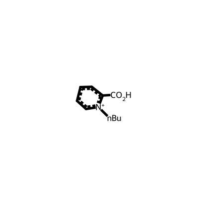 CCCC[n+]1ccccc1C(=O)O